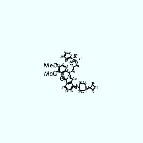 COc1ccc([C@@H](CCCN(C)S(=O)(=O)c2cccs2)N2Cc3c(cccc3N3CCN(C4CCC4)CC3)C2=O)cc1OC